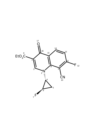 CCOC(=O)c1cn([C@@H]2C[C@H]2F)c2c(C#N)c(F)ccc2c1=O